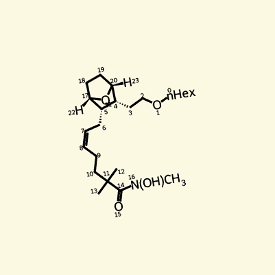 CCCCCCOCC[C@@H]1[C@H](C/C=C\CCC(C)(C)C(=O)N(C)O)[C@@H]2CC[C@H]1O2